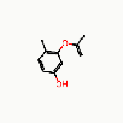 C=C(C)Oc1cc(O)ccc1C